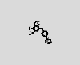 O=Cc1cc(Cc2ccc(-n3cccn3)cc2)c2c(c1F)CCO2